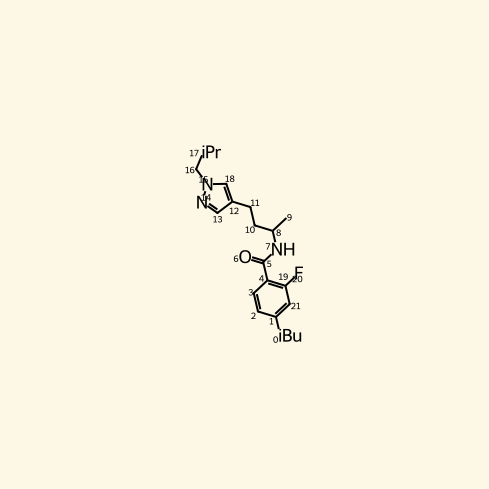 CCC(C)c1ccc(C(=O)NC(C)CCc2cnn(CC(C)C)c2)c(F)c1